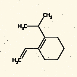 C=CC1=C(C(C)C)CCCC1